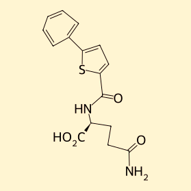 NC(=O)CC[C@H](NC(=O)c1ccc(-c2ccccc2)s1)C(=O)O